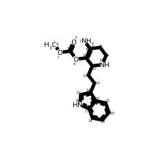 COC(=O)OC1=C(N)CCNC1CCc1c[nH]c2ccccc12